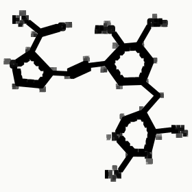 COc1cc(Cc2cnc(N)nc2N)cc(C#Cc2ccoc2C(N)=O)c1OC